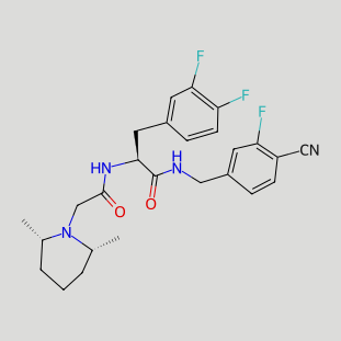 C[C@@H]1CCC[C@H](C)N1CC(=O)N[C@@H](Cc1ccc(F)c(F)c1)C(=O)NCc1ccc(C#N)c(F)c1